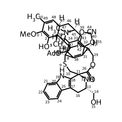 COC1=C(O)C2(C)C3[C@@H]4[C@@H]5SC[C@]6(N[C@H](CO)Cc7c6[nH]c6ccccc76)C(=O)OC[C@@H](c6c7c(c(C)c(OC(C)=O)c65)OCO7)N4[C@@H](C#N)[C@H](C[C@@H]2C=C1C)N3C